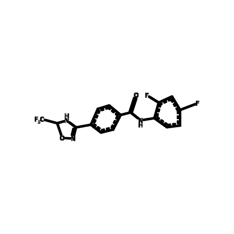 O=C(Nc1ccc(F)cc1F)c1ccc(C2=NOC(C(F)(F)F)N2)cc1